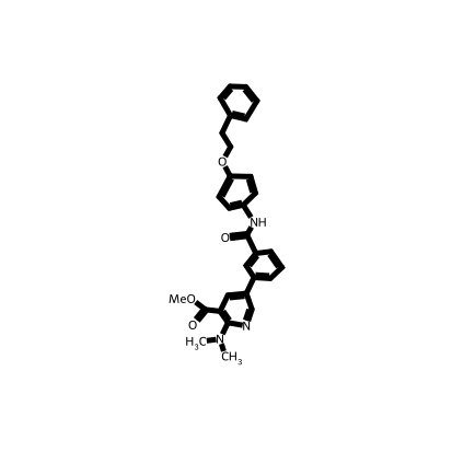 COC(=O)c1cc(-c2cccc(C(=O)Nc3ccc(OCCc4ccccc4)cc3)c2)cnc1N(C)C